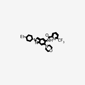 CC[C@H]1CC[C@H](n2cc3cc(NC(=O)c4cccc(C(F)(F)F)n4)c(N4CCOCC4)cc3n2)CC1